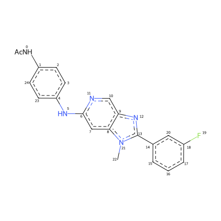 CC(=O)Nc1ccc(Nc2cc3c(cn2)nc(-c2cccc(F)c2)n3C)cc1